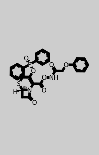 O=C(COc1ccccc1)NOC(=O)C1=C(OP(=O)(c2ccccc2)c2ccccc2)CS[C@H]2CC(=O)N12